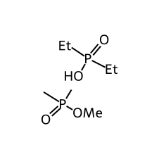 CCP(=O)(O)CC.COP(C)(C)=O